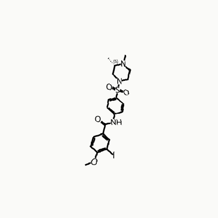 COc1ccc(C(=O)Nc2ccc(S(=O)(=O)N3CCN(C)[C@@H](C)C3)cc2)cc1I